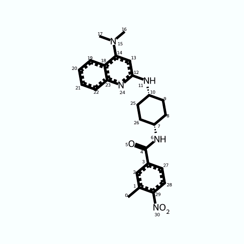 Cc1cc(C(=O)N[C@H]2CC[C@@H](Nc3cc(N(C)C)c4ccccc4n3)CC2)ccc1[N+](=O)[O-]